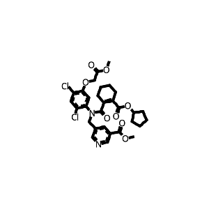 COC(=O)COc1cc(N(Cc2cncc(C(=O)OC)c2)C(=O)C2=C(C(=O)OC3CCCC3)CCCC2)c(Cl)cc1Cl